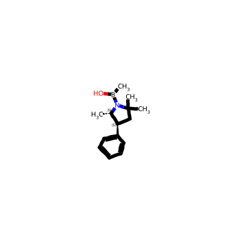 CB(O)N1[C@@H](C)[C@H](c2ccccc2)CC1(C)C